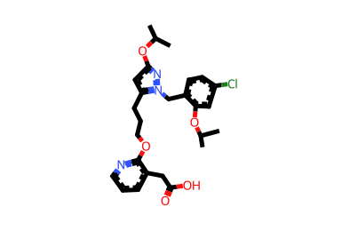 CC(C)Oc1cc(CCCOc2ncccc2CC(=O)O)n(Cc2ccc(Cl)cc2OC(C)C)n1